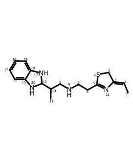 C/C=C1/CSC(CCNCC(C)C2Nc3ccccc3N2)=N1